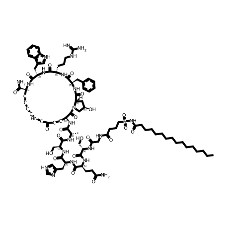 CCCCCCCCCCCCCCCC(=O)NS(=O)(=O)CCCC(=O)NCC(=O)N[C@@H](CO)C(=O)N[C@@H](CCC(N)=O)C(=O)N[C@@H](Cc1c[nH]cn1)C(=O)N[C@@H](CO)C(=O)N[C@@H](C)C(=O)N[C@H]1CCC(=O)CNCCCC[C@@H](C(N)=O)NC(=O)[C@H](Cc2c[nH]c3ccccc23)NC(=O)[C@H](CCCNC(=N)N)NC(=O)[C@@H](Cc2ccccc2)NC(=O)[C@@H]2C[C@@H](O)CN2C1=O